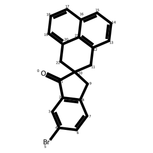 O=C1c2cc(Br)ccc2CC12Cc1cccc3cccc(c13)C2